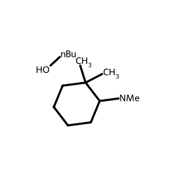 CCCCO.CNC1CCCCC1(C)C